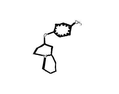 Cc1ccc(OC2CCN3CCCCC3C2)cc1